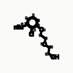 CCCCc1cccc(OCCOCCO)c1Cl